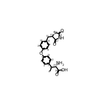 CC(c1ccc(Oc2ccc(CC3SC(=O)NC3=O)cc2)cc1)[C@H](N)C(=O)O